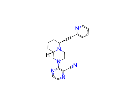 N#Cc1nccnc1N1CCN2[C@@H](CCC[C@H]2C#Cc2ccccn2)C1